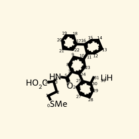 CSCCC(NC(=O)c1ccc(-c2ccccc2-c2ccccc2)cc1-c1ccccc1C)C(=O)O.[LiH]